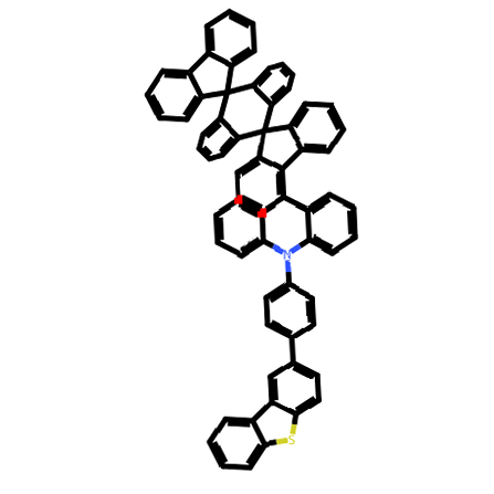 c1ccc(N(c2ccc(-c3ccc4sc5ccccc5c4c3)cc2)c2ccccc2-c2cccc3c2-c2ccccc2C32c3ccccc3C3(c4ccccc4-c4ccccc43)c3ccccc32)cc1